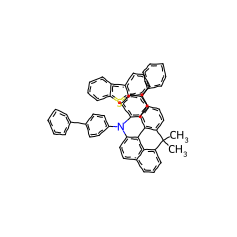 CC1(C)c2ccc(-c3cccc4c3sc3ccccc34)cc2-c2c(N(c3ccc(-c4ccccc4)cc3)c3ccc(-c4ccccc4)cc3)ccc3cccc1c23